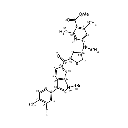 COC(=O)c1c(C)cc(N(C)[C@@H]2CCN(C(=O)c3ccc4c(-c5ccc(Cl)c(F)c5)cn(C(C)(C)C)c4n3)C2)nc1C